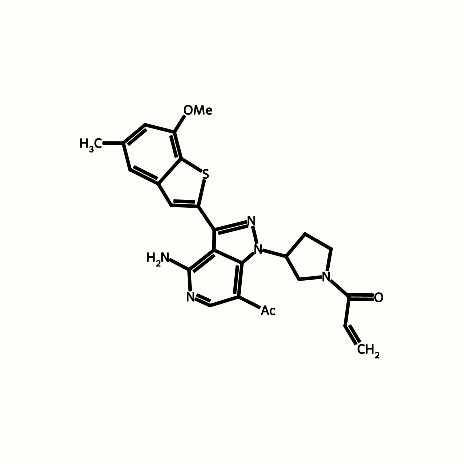 C=CC(=O)N1CCC(n2nc(-c3cc4cc(C)cc(OC)c4s3)c3c(N)ncc(C(C)=O)c32)C1